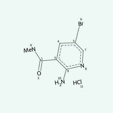 CNC(=O)c1cc(Br)cnc1N.Cl